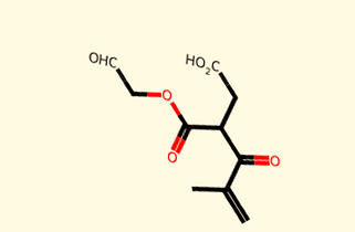 C=C(C)C(=O)C(CC(=O)O)C(=O)OCC=O